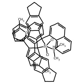 Cc1ccc(C2=Cc3cc4c(cc3[C]2(c2cccc3ccccc23)[Zr]([Cl])([Cl])([SiH](C)C)[C]2(c3cccc5ccccc35)C(c3ccc(C)o3)=Cc3cc5c(cc32)CCC5)CCC4)o1